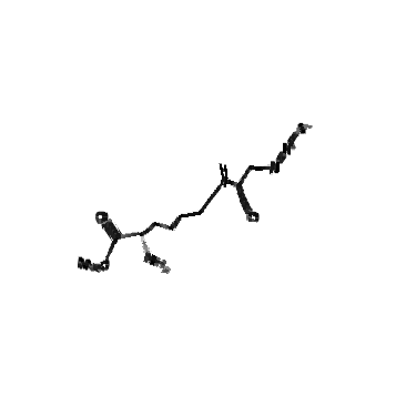 COC(=O)[C@@H](N)CCCCNC(=O)CN=[N+]=[N-]